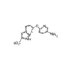 Nc1ccc(Oc2ccc3cc(C(=O)O)[nH]c3c2)nc1